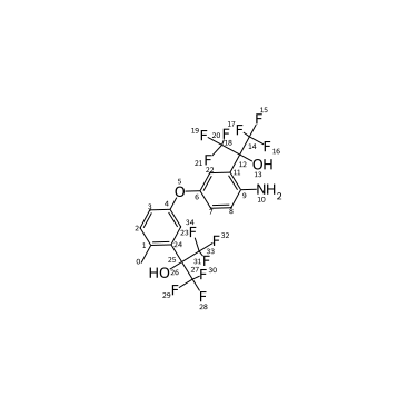 Cc1ccc(Oc2ccc(N)c(C(O)(C(F)(F)F)C(F)(F)F)c2)cc1C(O)(C(F)(F)F)C(F)(F)F